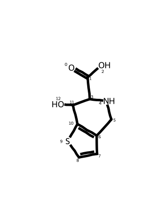 O=C(O)C1NCc2ccsc2C1O